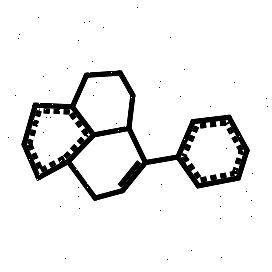 C1=C(c2ccccc2)C2CCCc3cccc(c32)C1